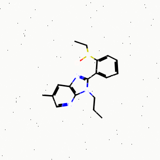 CCCn1c(-c2ccccc2[S+]([O-])CC)nc2cc(C)cnc21